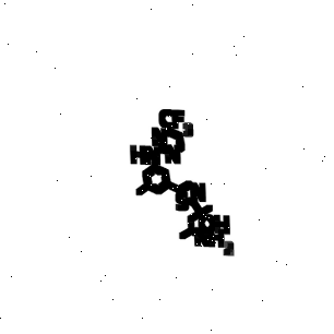 Cc1cc(Nc2nccc(C(F)(F)F)n2)cc(-c2cnc(C(C)(O)CC(C)N)s2)c1